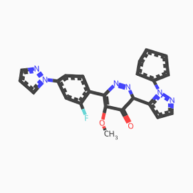 COC1=C(c2ccc(-n3cccn3)cc2F)N=NC(c2ccnn2-c2ccccc2)C1=O